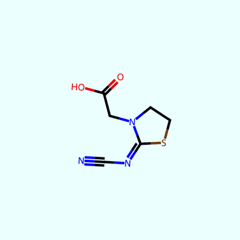 N#C/N=C1/SCCN1CC(=O)O